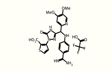 COc1cnc(C(Nc2ccc(C(=N)N)cc2)c2nn(-c3ccsc3C(=O)O)c(=O)[nH]2)cc1OC.O=C(O)C(F)(F)F